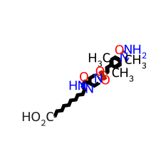 Cc1cc(N(C)C(N)=O)cc(C)c1C=CS(=O)(=O)N1CCC2(CC1)N=C(CCCCCCCCCC(=O)O)NC2=O